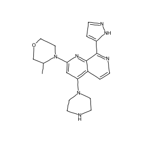 CC1COCCN1c1cc(N2CCNCC2)c2ccnc(-c3ccn[nH]3)c2n1